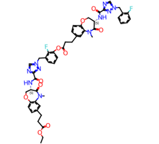 CCOC(=O)CCc1ccc2c(c1)N(C)C(=O)[C@@H](NC(=O)c1ncn(Cc3cccc(OC(=O)CCc4ccc5c(c4)N(C)C(=O)[C@@H](NC(=O)c4ncn(Cc6ccccc6F)n4)CO5)c3F)n1)CO2